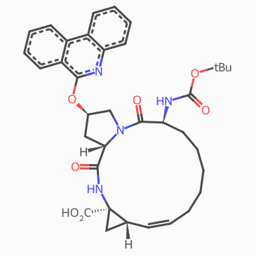 CC(C)(C)OC(=O)N[C@H]1CCCCCC=C[C@@H]2C[C@@]2(C(=O)O)NC(=O)[C@@H]2C[C@@H](Oc3nc4ccccc4c4ccccc34)CN2C1=O